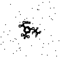 COC(=O)c1cc(OC(F)(F)C(F)F)cc(S(C)(=O)=O)c1